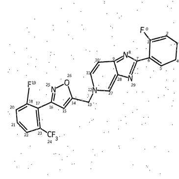 FC1=CCCC=C1c1nc2ccn(Cc3cc(-c4c(F)cccc4C(F)(F)F)no3)cc-2n1